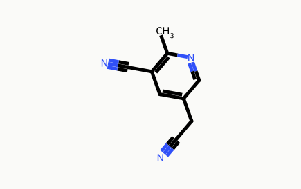 Cc1ncc(CC#N)cc1C#N